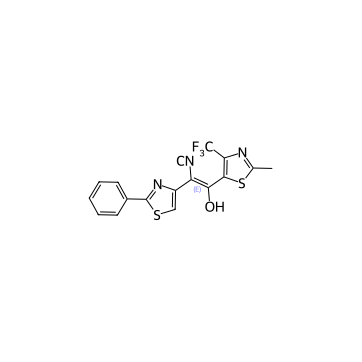 Cc1nc(C(F)(F)F)c(/C(O)=C(\C#N)c2csc(-c3ccccc3)n2)s1